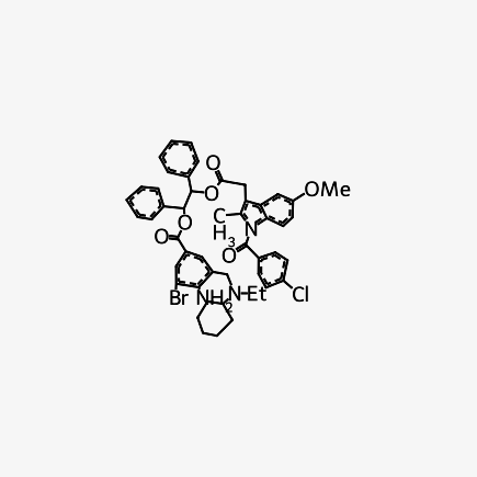 CCN(Cc1cc(C(=O)OC(c2ccccc2)C(OC(=O)Cc2c(C)n(C(=O)c3ccc(Cl)cc3)c3ccc(OC)cc23)c2ccccc2)cc(Br)c1N)C1CCCCC1